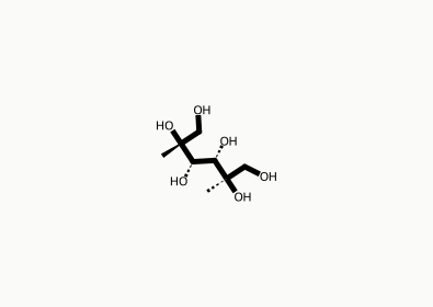 C[C@@](O)(CO)[C@@H](O)[C@H](O)[C@](C)(O)CO